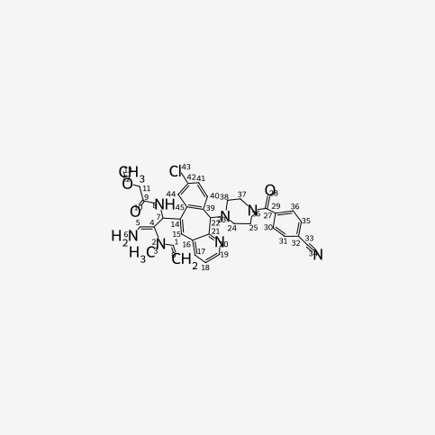 C=CN(C)/C(=C\N)C(NC(=O)COC)C1=Cc2cccnc2C(N2CCN(C(=O)c3ccc(C#N)cc3)CC2)c2ccc(Cl)cc21